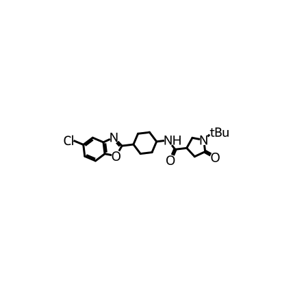 CC(C)(C)N1CC(C(=O)NC2CCC(c3nc4cc(Cl)ccc4o3)CC2)CC1=O